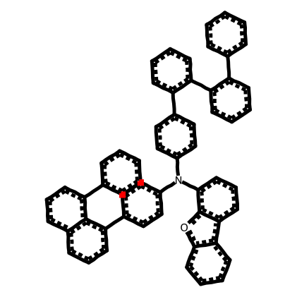 c1ccc(-c2ccccc2-c2ccccc2-c2ccc(N(c3ccc(-c4cccc5cccc(-c6ccccc6)c45)cc3)c3cccc4c3oc3ccccc34)cc2)cc1